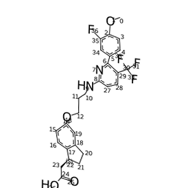 COc1ccc(-c2nc(NCCCOc3ccc4c(c3)CC[C@H]4CC(=O)O)ccc2C(F)(F)F)cc1F